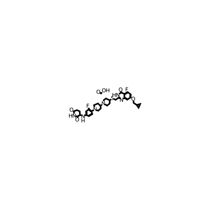 O=C1CCC(Nc2ccc(N3CCC(N4CCC(SCc5nc6cc(OCC7CC7)cc(F)c6c(=O)[nH]5)CC4)CC3)c(F)c2)C(=O)N1.O=CO